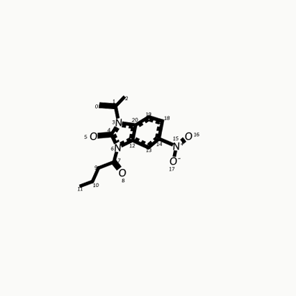 C=C(C)n1c(=O)n(C(=O)CCC)c2cc([N+](=O)[O-])ccc21